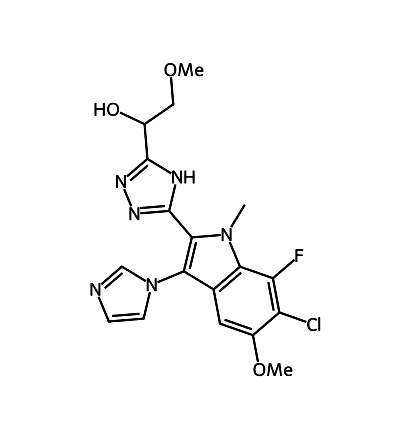 COCC(O)c1nnc(-c2c(-n3ccnc3)c3cc(OC)c(Cl)c(F)c3n2C)[nH]1